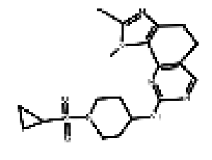 Cc1nc2c(n1C)-c1nc(NC3CCN(S(=O)(=O)C4CC4)CC3)ncc1CC2